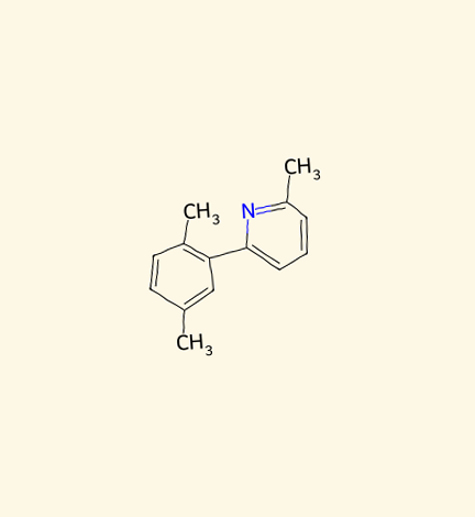 Cc1ccc(C)c(-c2cccc(C)n2)c1